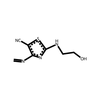 C=Nc1nc(NCCO)sc1C#N